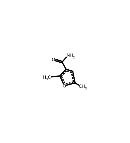 Cc1cc(C(N)=O)c(C)o1